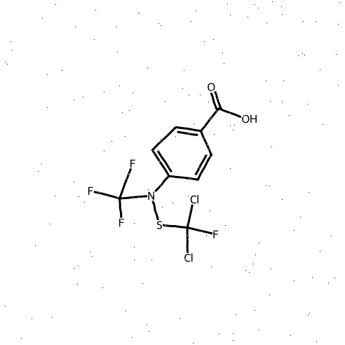 O=C(O)c1ccc(N(SC(F)(Cl)Cl)C(F)(F)F)cc1